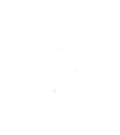 CCC1=C(CC)c2nc1c(CC)c1[nH]c(cc3nc(cc4[nH]c(c2CC)c(CC)c4CC)C=C3)c(CC)c1CC.[Fe]